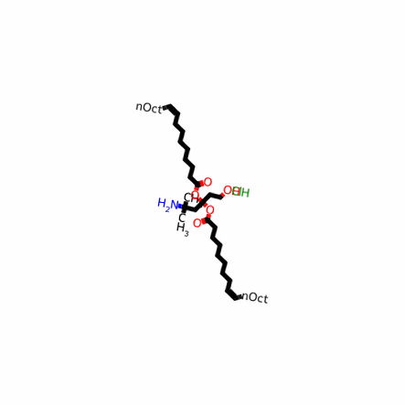 CCCCCCCC/C=C\CCCCCCCC(=O)OC(CCO)(CC(C)(C)N)OC(=O)CCCCCCC/C=C\CCCCCCCC.Cl